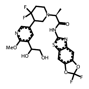 COc1ncc(C2CN([C@@H](C)C(=O)Nc3nc4cc5c(cc4s3)OC(F)(F)O5)CCC2(F)F)cc1C(O)CO